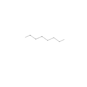 CCCCCC[CH2][GaH2].Cl.Cl